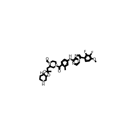 COc1ccc(-c2cnc3c(Nc4ccc(C(=O)N5CCN(C=O)C(CC6(C)OC7CNCC[C@H]7O6)C5)c(C)c4)nccn23)c(F)c1F